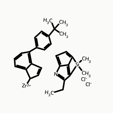 CC(C)(C)c1ccc(-c2cccc3c2C=C[CH]3[Zr+2])cc1.CCC1=NC2=CC=C3C2=C1[Si]3(C)C.[Cl-].[Cl-]